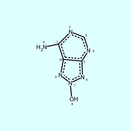 Nc1ncnc2nn(O)nc12